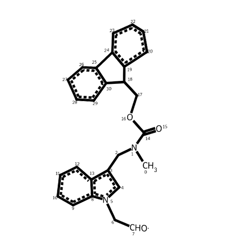 CN(Cc1cn(C[C]=O)c2ccccc12)C(=O)OCC1c2ccccc2-c2ccccc21